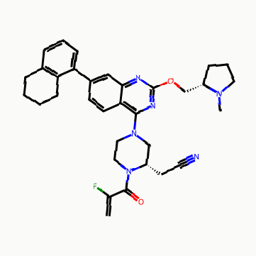 C=C(F)C(=O)N1CCN(c2nc(OC[C@@H]3CCCN3C)nc3cc(-c4cccc5c4CCCC5)ccc23)C[C@@H]1CC#N